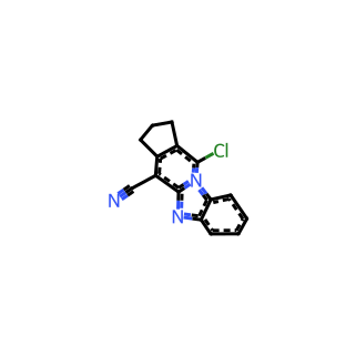 N#Cc1c2c(c(Cl)n3c1nc1ccccc13)CCC2